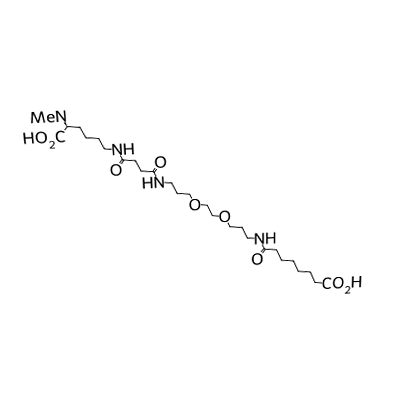 CN[C@@H](CCCCNC(=O)CCC(=O)NCCCOCCOCCCNC(=O)CCCCCCC(=O)O)C(=O)O